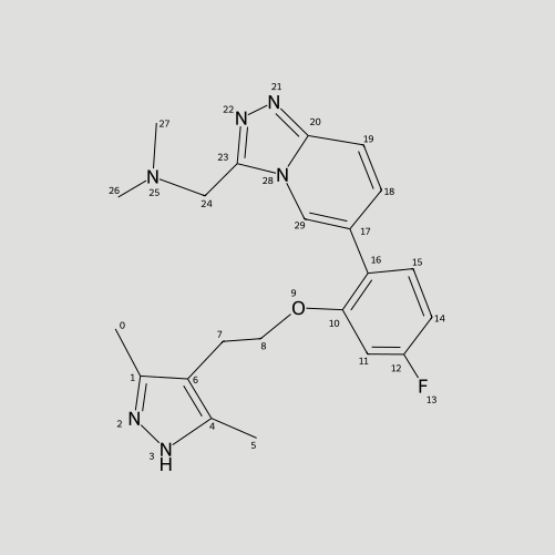 Cc1n[nH]c(C)c1CCOc1cc(F)ccc1-c1ccc2nnc(CN(C)C)n2c1